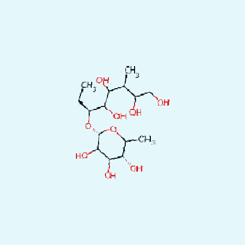 CC[C@H](O[C@@H]1OC(C)[C@H](O)C(O)C1O)C(O)C(O)[C@@H](C)C(O)CO